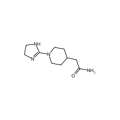 NC(=O)CC1CCN(C2=NCCN2)CC1